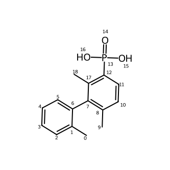 Cc1ccccc1-c1c(C)ccc(P(=O)(O)O)c1C